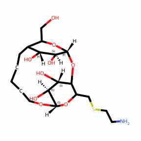 NCCSCC1O[C@@H]2OCCCCCC3C(CO)O[C@H](OC1[C@@H](O)[C@@H]2O)[C@@H](O)[C@@H]3O